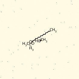 CCCCCCCCCCCCCCCC(=O)OC(C)C.CCO